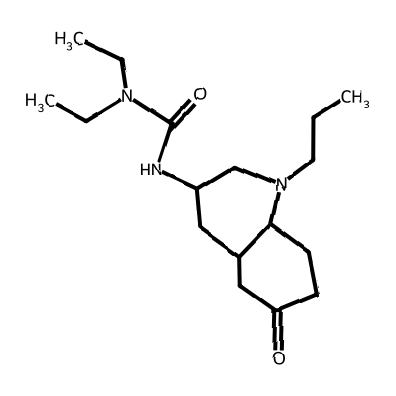 CCCN1CC(NC(=O)N(CC)CC)CC2CC(=O)CCC21